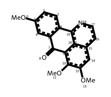 COc1ccc2c(c1)C(=O)c1c(OC)c(OC)cc3ccnc-2c13